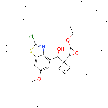 CCOC1OC1C1(C(O)c2cc(OC)cc3sc(Cl)nc23)CCC1